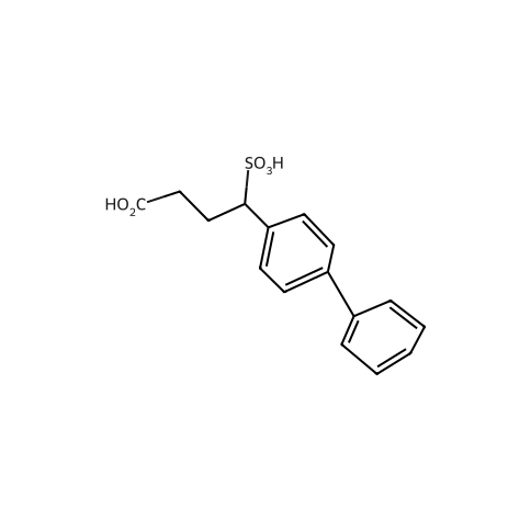 O=C(O)CCC(c1ccc(-c2ccccc2)cc1)S(=O)(=O)O